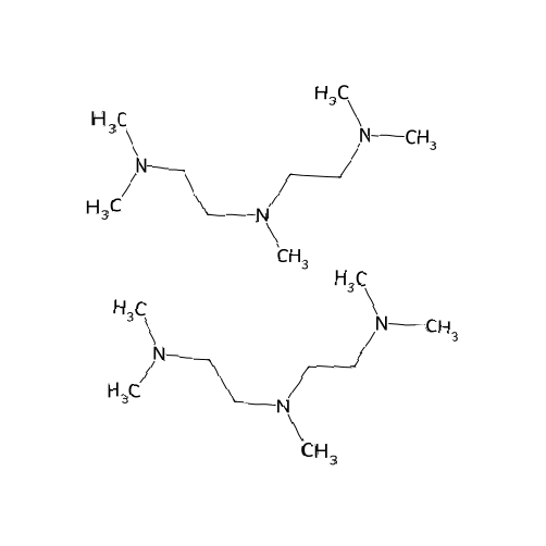 CN(C)CCN(C)CCN(C)C.CN(C)CCN(C)CCN(C)C